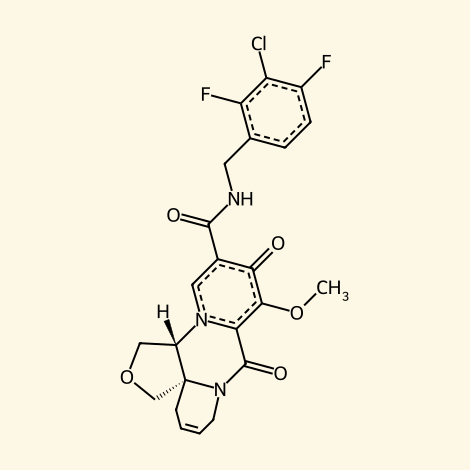 COc1c2n(cc(C(=O)NCc3ccc(F)c(Cl)c3F)c1=O)[C@H]1COC[C@]13CC=CCN3C2=O